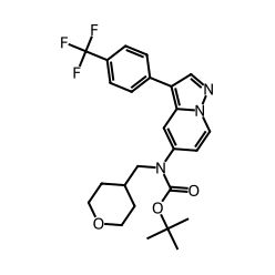 CC(C)(C)OC(=O)N(CC1CCOCC1)c1ccn2ncc(-c3ccc(C(F)(F)F)cc3)c2c1